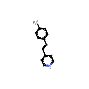 FC(F)(F)c1ccc(C=Cc2ccncc2)cc1